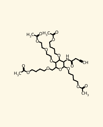 C#CCC(=O)NC1C(OCCCCOC(C)=O)OC(COCCCCOC(C)=O)C(OCCOCCOC(C)=O)C1OCCCCOC(C)=O